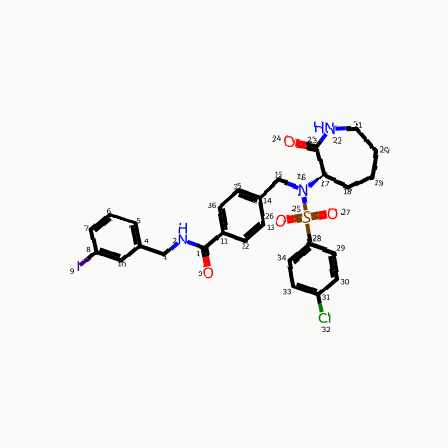 O=C(NCc1cccc(I)c1)c1ccc(CN([C@@H]2CCCCNC2=O)S(=O)(=O)c2ccc(Cl)cc2)cc1